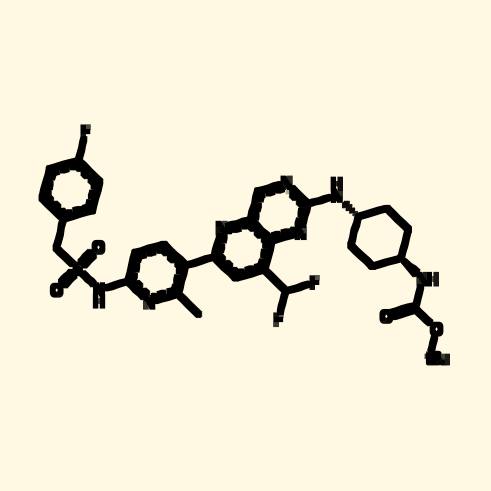 Cc1nc(NS(=O)(=O)Cc2ccc(F)cc2)ccc1-c1cc(C(F)F)c2nc(N[C@H]3CC[C@H](NC(=O)OC(C)(C)C)CC3)ncc2n1